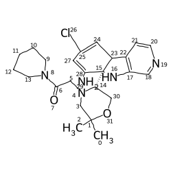 CC1(C)CN(CC(=O)N2CCCCC2)[C@H](C23Nc4cnccc4C2C=C(Cl)C=C3N)CO1